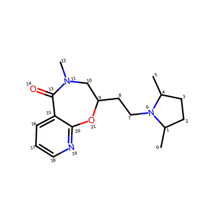 CC1CCC(C)N1CCC1CN(C)C(=O)c2cccnc2O1